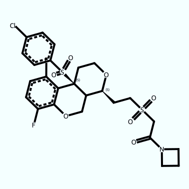 O=C(CS(=O)(=O)CC[C@@H]1OCC[C@@]2(S(=O)(=O)c3ccc(Cl)cc3)c3c(F)ccc(F)c3OCC12)N1CCC1